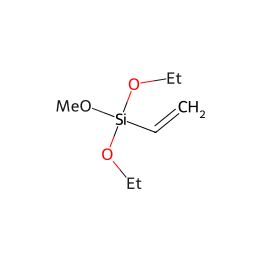 C=C[Si](OC)(OCC)OCC